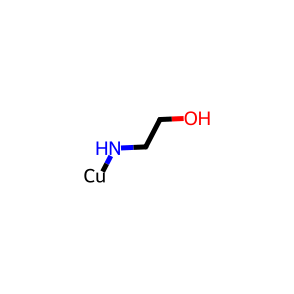 OCC[NH][Cu]